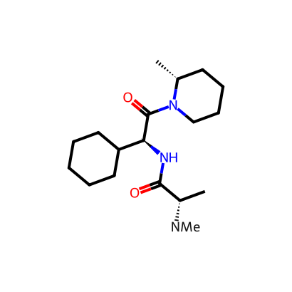 CN[C@@H](C)C(=O)N[C@H](C(=O)N1CCCC[C@H]1C)C1CCCCC1